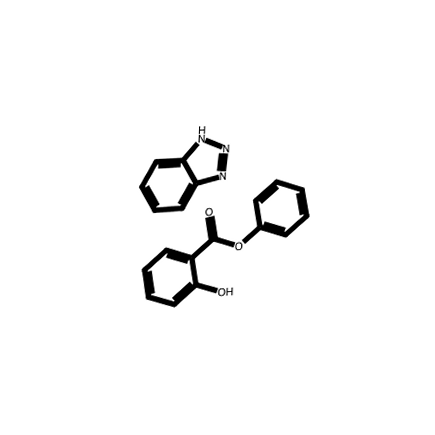 O=C(Oc1ccccc1)c1ccccc1O.c1ccc2[nH]nnc2c1